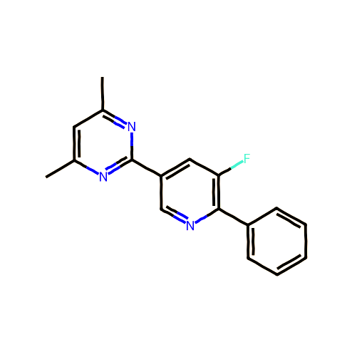 Cc1cc(C)nc(-c2cnc(-c3ccccc3)c(F)c2)n1